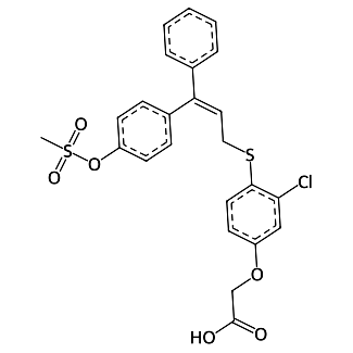 CS(=O)(=O)Oc1ccc(/C(=C\CSc2ccc(OCC(=O)O)cc2Cl)c2ccccc2)cc1